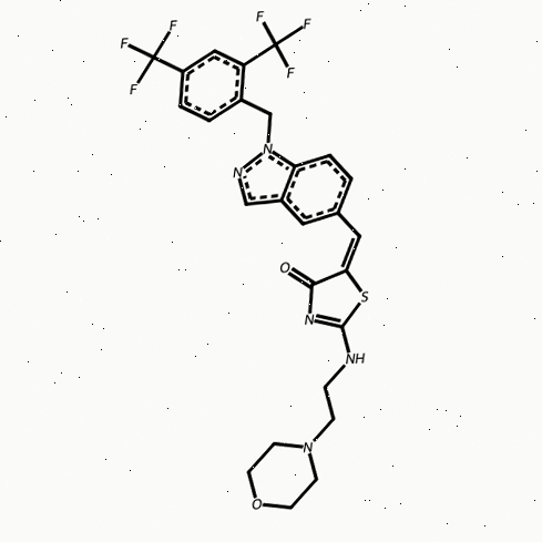 O=C1N=C(NCCN2CCOCC2)SC1=Cc1ccc2c(cnn2Cc2ccc(C(F)(F)F)cc2C(F)(F)F)c1